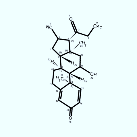 CC(=O)OCC(=O)[C@H]1C(C#N)C[C@H]2[C@@H]3CCC4=CC(=O)C=C[C@]4(C)[C@H]3C(O)C[C@]12C